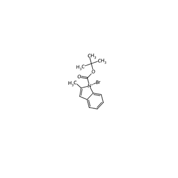 CC1=Cc2ccccc2[N+]1(Br)C(=O)OC(C)(C)C